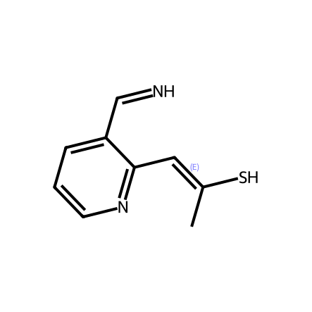 C/C(S)=C\c1ncccc1C=N